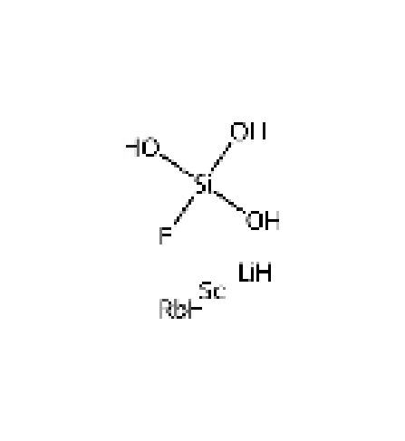 O[Si](O)(O)F.[LiH].[RbH].[Sc]